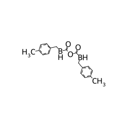 Cc1ccc(CBC(=O)OC(=O)BCc2ccc(C)cc2)cc1